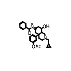 CC(=O)Oc1cccc(C23CCN(CC4CC4)CC2C(O)C[C@@H](N(C)C(=O)c2ccccc2)C3)c1